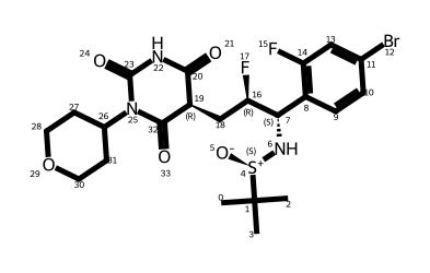 CC(C)(C)[S@@+]([O-])N[C@@H](c1ccc(Br)cc1F)[C@H](F)C[C@@H]1C(=O)NC(=O)N(C2CCOCC2)C1=O